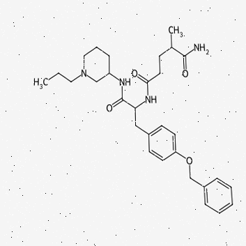 CCCN1CCCC(NC(=O)C(Cc2ccc(OCc3ccccc3)cc2)NC(=O)[CH]CC(C)C(N)=O)C1